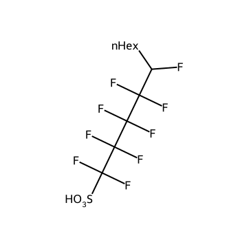 CCCCCCC(F)C(F)(F)C(F)(F)C(F)(F)C(F)(F)S(=O)(=O)O